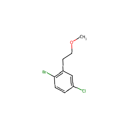 COCCc1cc(Cl)ccc1Br